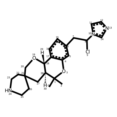 CC1(C)Oc2cc(CC(Cl)n3ccnc3)ccc2[C@H]2OCC3(CCNCC3)C[C@@H]21